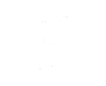 O=C(Oc1ccc2c(c1)C(=O)OC2=O)c1ccc(Cl)c(Cl)c1